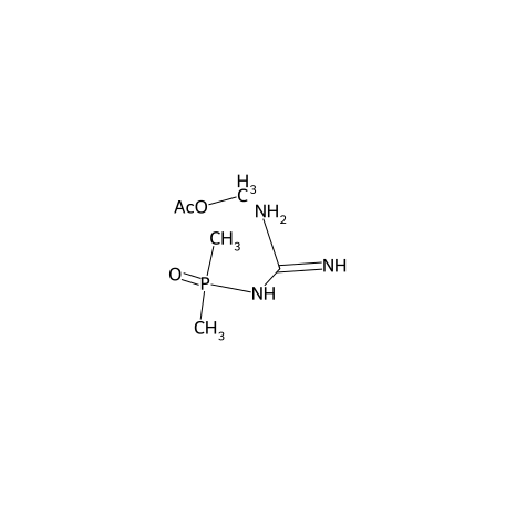 COC(C)=O.CP(C)(=O)NC(=N)N